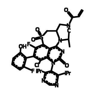 C=CC(=O)N1CC(C)N2c3nc(=O)n(-c4c(C(C)C)ncnc4C(C)C)c4c(Cl)c(-c5c(O)cccc5F)c(F)c(c34)S(=O)(=O)CC2C1